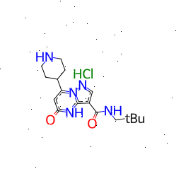 CC(C)(C)CNC(=O)c1cnn2c(C3CCNCC3)cc(=O)[nH]c12.Cl